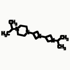 CC(C)N1CCN(C2CN(C3CN(C(C)C)C3)C2)CC1